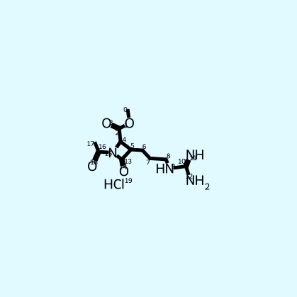 COC(=O)C1C(CCCNC(=N)N)C(=O)N1C(C)=O.Cl